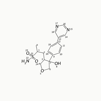 CC(CC1COCC1(O)c1ccc(-c2cncnc2)cc1)S(N)(=O)=O